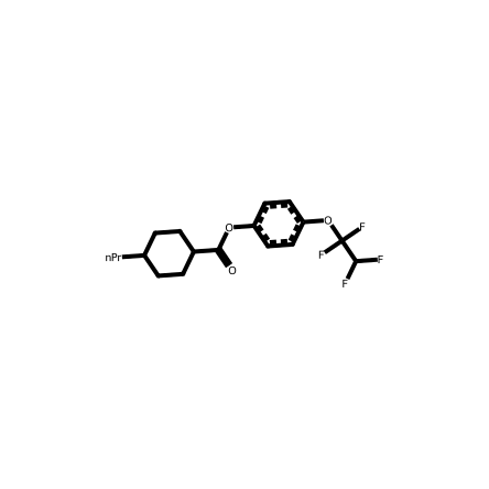 CCCC1CCC(C(=O)Oc2ccc(OC(F)(F)C(F)F)cc2)CC1